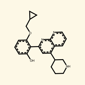 Oc1cccc(OCC2CC2)c1-c1cc(C2CCCNC2)c2cccnc2n1